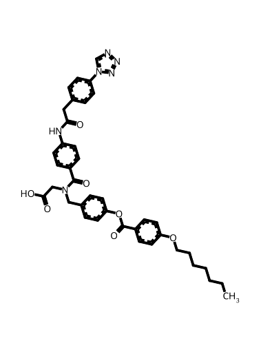 CCCCCCCOc1ccc(C(=O)Oc2ccc(CN(CC(=O)O)C(=O)c3ccc(NC(=O)Cc4ccc(-n5cnnn5)cc4)cc3)cc2)cc1